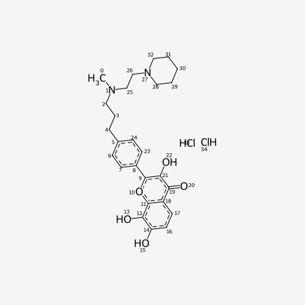 CN(CCCc1ccc(-c2oc3c(O)c(O)ccc3c(=O)c2O)cc1)CCN1CCCCC1.Cl.Cl